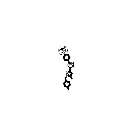 Cc1ccc(Cn2nc(-c3nc(-c4ccc(S(=O)(=O)C(F)(F)F)cc4)no3)cc2C)cc1